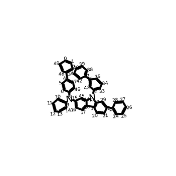 c1ccc(-c2ccc(N(c3ccccc3)c3ccc4c5ccc(-c6ccccc6)cc5n(-c5cccc(-c6ccccc6)c5)c4c3)cc2)cc1